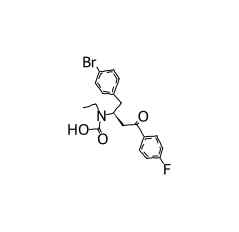 CCN(C(=O)O)[C@H](CC(=O)c1ccc(F)cc1)Cc1ccc(Br)cc1